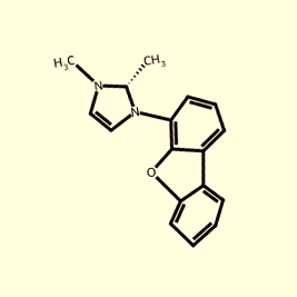 C[C@H]1N(C)C=CN1c1cccc2c1oc1ccccc12